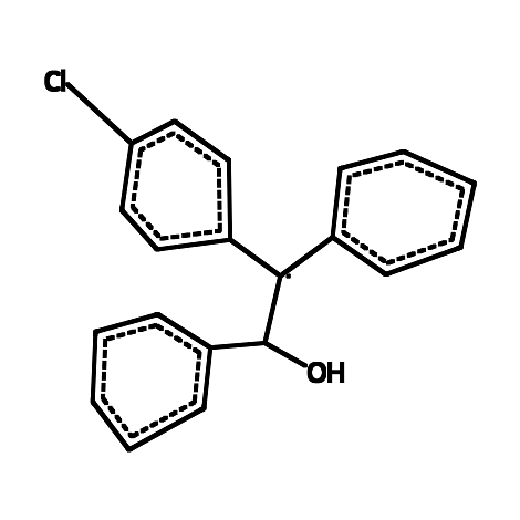 OC([C](c1ccccc1)c1ccc(Cl)cc1)c1ccccc1